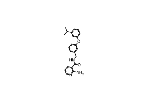 CC(C)c1cccc(Oc2cccc(CNC(=O)c3cccnc3N)c2)c1